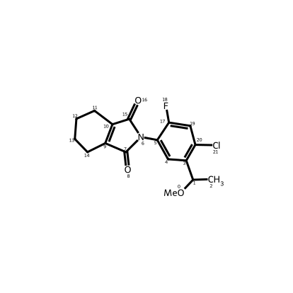 COC(C)c1cc(N2C(=O)C3=C(CCCC3)C2=O)c(F)cc1Cl